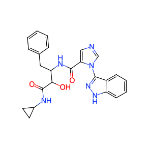 O=C(NC(Cc1ccccc1)C(O)C(=O)NC1CC1)c1cncn1-c1n[nH]c2ccccc12